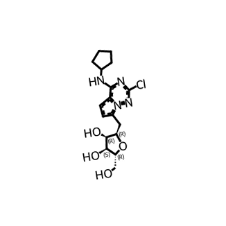 OC[C@H]1O[C@H](Cc2ccc3c(NC4CCCC4)nc(Cl)nn23)[C@H](O)[C@@H]1O